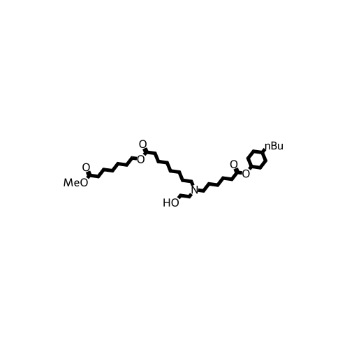 CCCCC1CCC(OC(=O)CCCCCN(CCO)CCCCCCCC(=O)OCCCCCCC(=O)OC)CC1